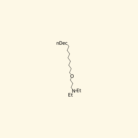 CCCCCCCCCCCCCCCCCCOCCCN(CC)CC